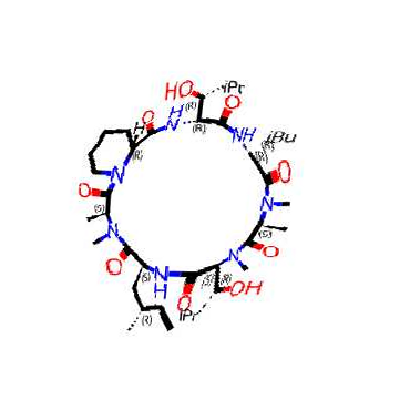 C=C[C@H](C)C[C@@H]1NC(=O)[C@H]([C@H](O)C(C)C)N(C)C(=O)[C@H](C)N(C)C(=O)[C@@H]([C@H](C)CC)NC(=O)[C@@H]([C@H](O)C(C)C)NC(=O)[C@H]2CCCCN2C(=O)[C@H](C)N(C)C1=O